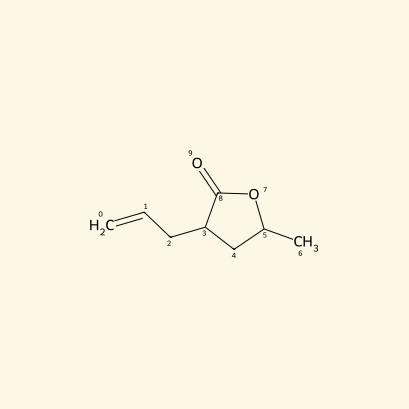 C=CCC1CC(C)OC1=O